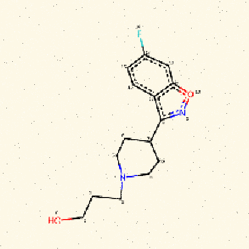 OCCCN1CCC(c2noc3cc(F)ccc23)CC1